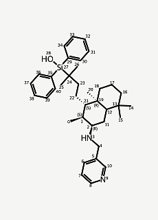 C[C@@H]1[C@H](NCc2cccnc2)CC2C(C)(C)CCC[C@]2(C)[C@H]1CCC(C)(C)[Si](O)(c1ccccc1)c1ccccc1